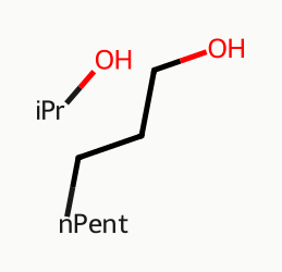 CC(C)O.CCCCCCCCO